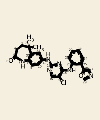 CC1(C)CCC(=O)Nc2ccc(Nc3ncc(Cl)c(Nc4ccccc4-c4cnco4)n3)cc21